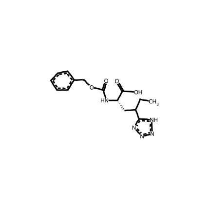 CCC(C[C@H](NC(=O)OCc1ccccc1)C(=O)O)c1nnn[nH]1